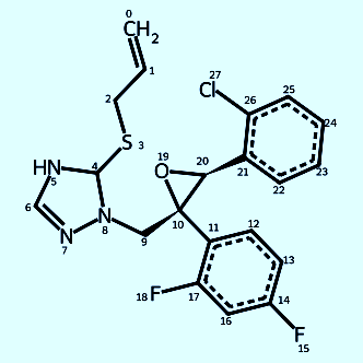 C=CCSC1NC=NN1C[C@@]1(c2ccc(F)cc2F)O[C@H]1c1ccccc1Cl